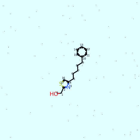 OCc1nc(CCCCCc2ccccc2)cs1